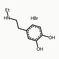 Br.CCNCCc1ccc(O)c(O)c1